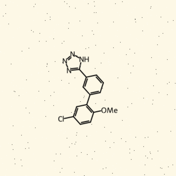 COc1ccc(Cl)cc1-c1cccc(-c2nnn[nH]2)c1